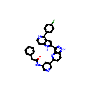 O=C(Cc1ccccc1)Nc1cncc(-c2ccc3[nH]nc(-c4cc5c(-c6ccc(F)cc6)nccc5[nH]4)c3n2)c1